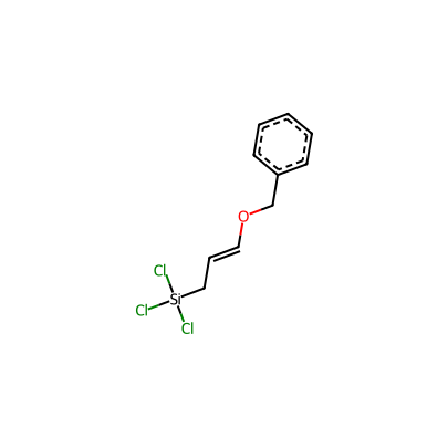 Cl[Si](Cl)(Cl)CC=COCc1ccccc1